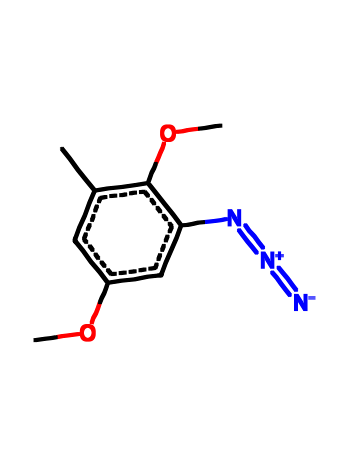 COc1cc(C)c(OC)c(N=[N+]=[N-])c1